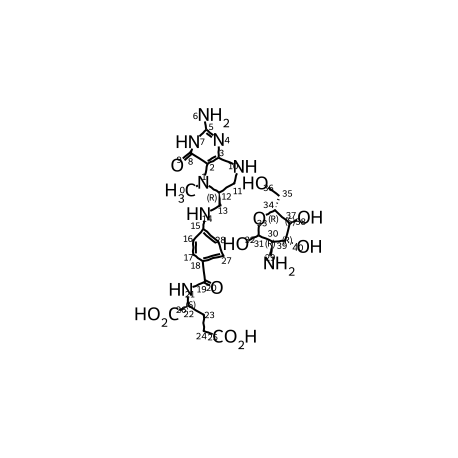 CN1c2c(nc(N)[nH]c2=O)NC[C@H]1CNc1ccc(C(=O)N[C@@H](CCC(=O)O)C(=O)O)cc1.N[C@H]1C(O)O[C@H](CO)[C@@H](O)[C@@H]1O